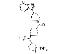 CC(c1ccnc(N)c1)N1CCC(C(=O)N2CCC(c3noc4ncccc34)CC2)CC1